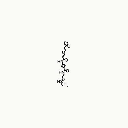 C=[SH]OCCNC(=O)[C@H]1C[C@@H](NC(=O)CCOCCC(=O)CC)C1